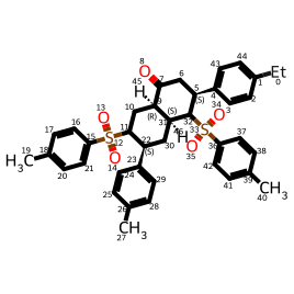 CCc1ccc([C@@H]2CC(=O)[C@@H]3CC(S(=O)(=O)c4ccc(C)cc4)[C@H](c4ccc(C)cc4)C[C@@H]3C2S(=O)(=O)c2ccc(C)cc2)cc1